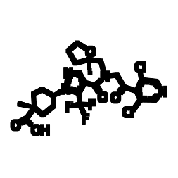 C[C@]1(CN(CC(=O)c2c(Cl)cncc2Cl)C(=O)c2cnn([C@H]3CC[C@](C)(C(=O)O)CC3)c2C(F)(F)F)CCCO1